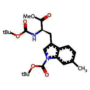 COC(=O)[C@@H](Cc1cn(C(=O)OC(C)(C)C)c2cc(C)ccc12)NC(=O)OC(C)(C)C